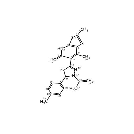 C=C1Nc2sc(C)cc2C(C)=C1C1=NN(C(=C)C)C(c2ccc(C)cc2)C1